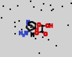 N[C@H]1CN2CCC1CC2.O=C(O)C(=O)O